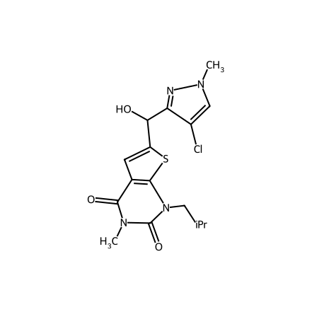 CC(C)Cn1c(=O)n(C)c(=O)c2cc(C(O)c3nn(C)cc3Cl)sc21